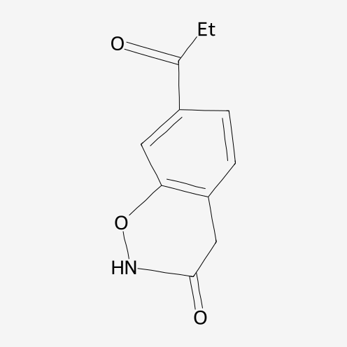 CCC(=O)c1ccc2c(c1)ONC(=O)C2